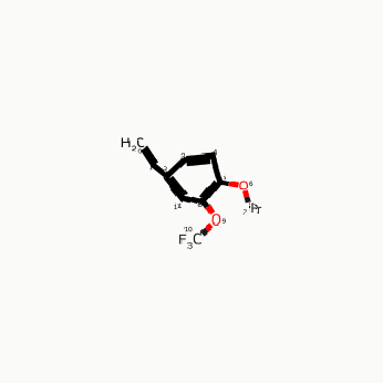 C=Cc1ccc(OC(C)C)c(OC(F)(F)F)c1